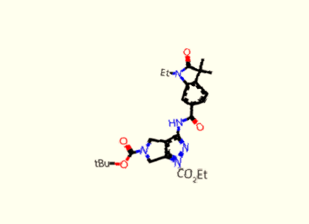 CCOC(=O)n1nc(NC(=O)c2ccc3c(c2)N(CC)C(=O)C3(C)C)c2c1CN(C(=O)OC(C)(C)C)C2